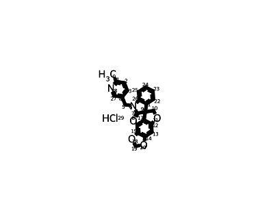 Cc1ccc(CN2C(=O)C3(COc4cc5c(cc43)OCO5)c3ccccc32)cn1.Cl